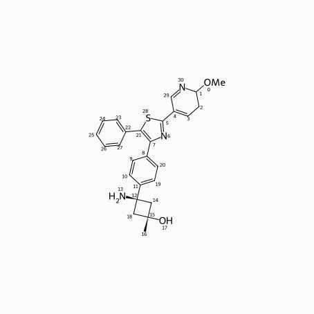 COC1CC=C(c2nc(-c3ccc([C@]4(N)C[C@](C)(O)C4)cc3)c(-c3ccccc3)s2)C=N1